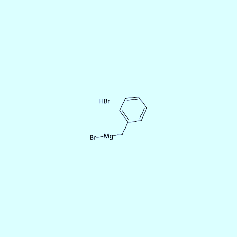 Br.[Br][Mg][CH2]c1ccccc1